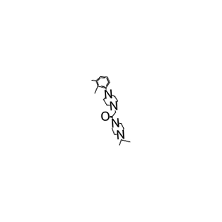 Cc1cccc(N2CCN(CC(=O)N3CCN(C(C)C)CC3)CC2)c1C